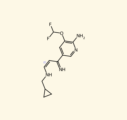 N=C(/C=C\NCC1CC1)c1cnc(N)c(OC(F)F)c1